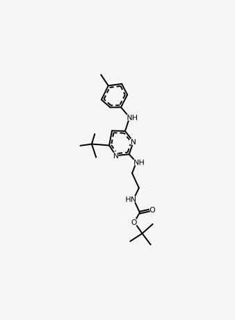 Cc1ccc(Nc2cc(C(C)(C)C)nc(NCCNC(=O)OC(C)(C)C)n2)cc1